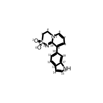 O=S1(=O)CCN2C=CC=C(c3ccc4cc[nH]c4c3)C2=N1